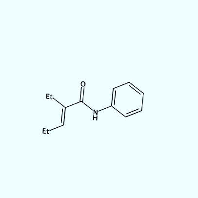 CCC=C(CC)C(=O)Nc1ccccc1